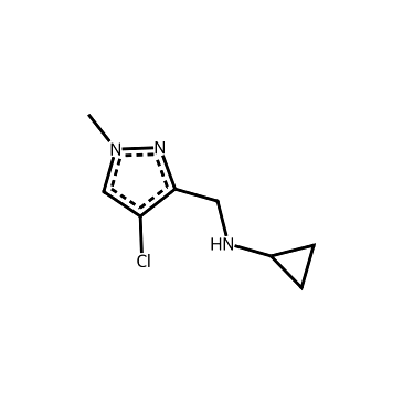 Cn1cc(Cl)c(CNC2CC2)n1